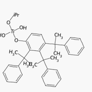 CC(C)[O][Ti]([OH])([OH])[O]c1ccc(C(C)(C)c2ccccc2)c(C(C)(C)c2ccccc2)c1C(C)(C)c1ccccc1